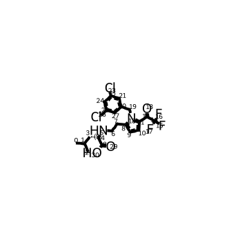 CC(C)C[C@H](NCCc1ccc(C(=O)C(F)(F)F)n1Cc1cc(Cl)cc(Cl)c1)C(=O)O